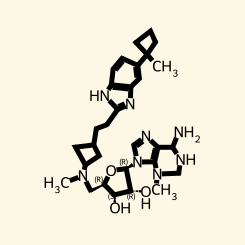 CN1CNC(N)c2ncn([C@@H]3O[C@H](CN(C)C4CC(CCc5nc6cc(C7(C)CCC7)ccc6[nH]5)C4)[C@@H](O)[C@H]3O)c21